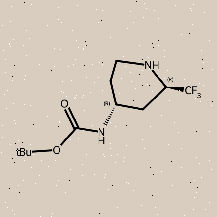 CC(C)(C)OC(=O)N[C@@H]1CCN[C@@H](C(F)(F)F)C1